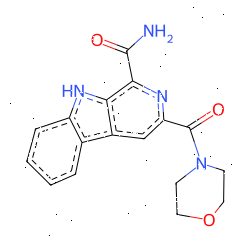 NC(=O)c1nc(C(=O)N2CCOCC2)cc2c1[nH]c1ccccc12